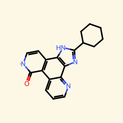 O=C1[N]C=Cc2c1c1cccnc1c1nc(C3CCCCC3)[nH]c21